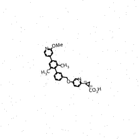 COc1cc(-c2cc(C)c(-c3cccc(COc4ccc([C@H]5C[C@@H]5C(=O)O)nc4)c3)c(C)c2)ccn1